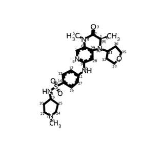 C[C@@H]1C(=O)N(C)c2cnc(Nc3ccc(S(=O)(=O)NC4CCN(C)CC4)cc3)cc2N1C1CCOCC1